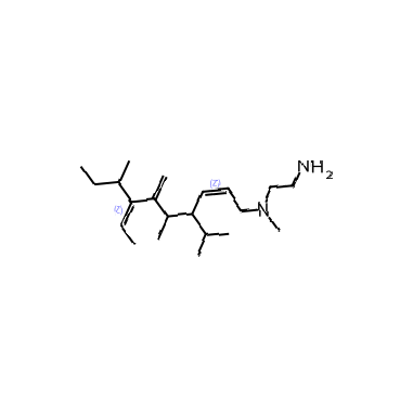 C=C(/C(=C\C)C(C)CC)C(C)C(/C=C\CN(C)CCN)C(C)C